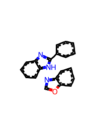 c1ccc(-c2nc3ccccc3[nH]2)cc1.c1ccc2ocnc2c1